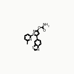 Cc1cccc(-n2nc(OC(N)=O)cc2-c2ccc3ncsc3c2)n1